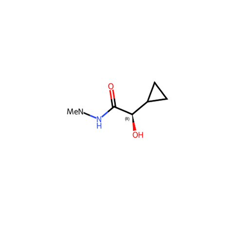 CNNC(=O)[C@H](O)C1CC1